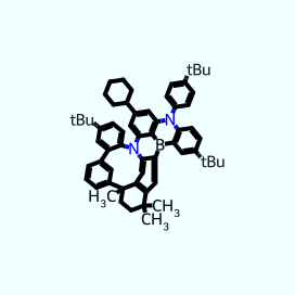 CC(C)(C)c1ccc(N2c3ccc(C(C)(C)C)cc3B3c4cc5c6cc4N(c4ccc(C(C)(C)C)cc4-c4cccc(c4)C6(C)CCC5(C)C)c4cc(C5CCCCC5)cc2c43)cc1